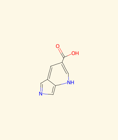 O=C(O)c1c[nH]c2cncc-2c1